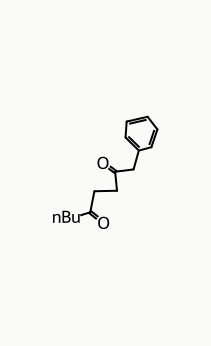 CCCCC(=O)CCC(=O)Cc1ccccc1